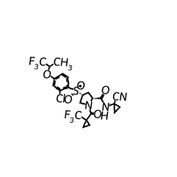 CC(Oc1ccc(S(=O)(=O)[C@@H]2C[C@@H](C(=O)NC3(C#N)CC3)N(C(=O)C3(C(F)(F)F)CC3)C2)c(Cl)c1)C(F)(F)F